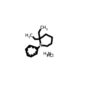 CCC1(CC)CCCCN1c1ccccc1.Cl.N